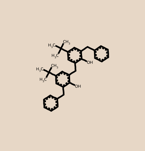 CC(C)(C)c1cc(Cc2ccccc2)c(O)c(Cc2cc(C(C)(C)C)cc(Cc3ccccc3)c2O)c1